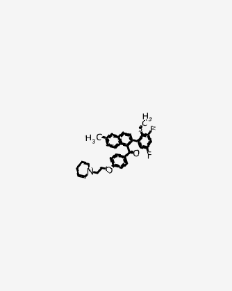 CSc1c(F)cc(F)cc1-c1ccc2cc(C)ccc2c1C(=O)c1ccc(OCCN2CCCCC2)cc1